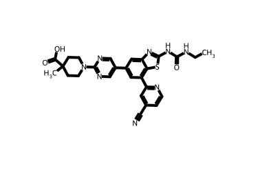 CCNC(=O)Nc1nc2cc(-c3cnc(N4CCC(C)(C(=O)O)CC4)nc3)cc(-c3cc(C#N)ccn3)c2s1